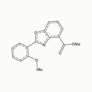 CCCCOc1ccccc1-c1nc2c(C(=O)OC)cccc2o1